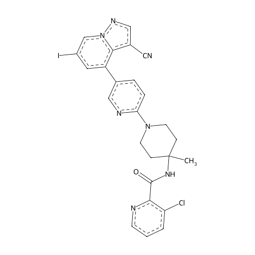 CC1(NC(=O)c2ncccc2Cl)CCN(c2ccc(-c3cc(I)cn4ncc(C#N)c34)cn2)CC1